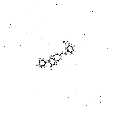 O=C1OC2(CCC(CNc3cccc(C(F)(F)F)n3)CC2)CN1c1cccnc1